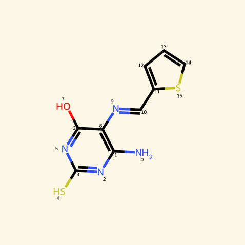 Nc1nc(S)nc(O)c1N=Cc1cccs1